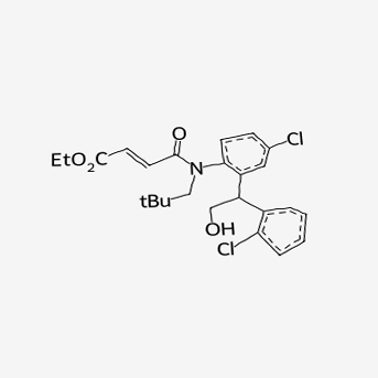 CCOC(=O)C=CC(=O)N(CC(C)(C)C)c1ccc(Cl)cc1C(CO)c1ccccc1Cl